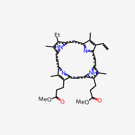 C=CC1=C(C)c2cc3[nH]c(cc4nc(cc5[nH]c(cc1n2)c(C)c5CCC(=O)OC)C(CCC(=O)OC)=C4C)c(C)c3CC